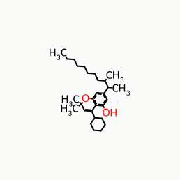 CCCCCCCCC(C)C(C)c1cc(O)c2c(c1)OC(C)(C)C=C2C1CCCCC1